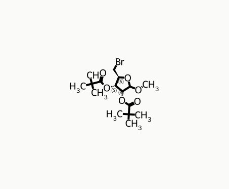 COC1O[C@H](CBr)[C@@H](OC(=O)C(C)(C)C)[C@H]1OC(=O)C(C)(C)C